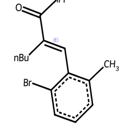 CCCC/C(=C\c1c(C)cccc1Br)C(=O)C(C)C